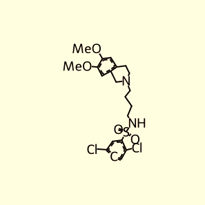 COc1cc2c(cc1OC)CN(CCCCNS(=O)(=O)c1cc(Cl)ccc1Cl)CC2